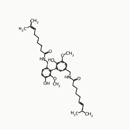 COc1cc(CNC(=O)CCCC/C=C/C(C)C)cc(-c2c(CNC(=O)CCCCCC=C(C)C)ccc(O)c2OC)c1O